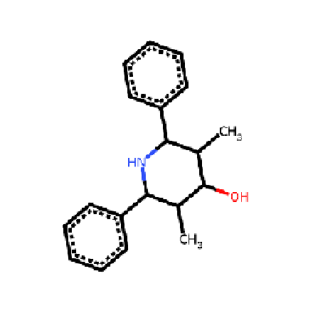 CC1C(c2ccccc2)NC(c2ccccc2)C(C)C1O